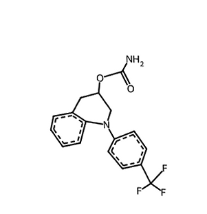 NC(=O)OC1Cc2ccccc2N(c2ccc(C(F)(F)F)cc2)C1